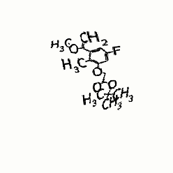 C=C(OC)c1cc(F)cc(OCC(=O)OC(C)(C)C)c1C